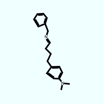 CN(C)c1ccc(CCCC=NCc2ccccc2)cc1